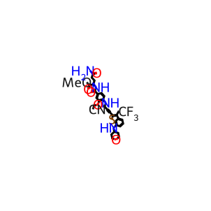 COC(=O)C(CCC(N)=O)NC(=O)c1ccc(NCC#Cc2sc3c(NC4CCOCC4)cccc3c2CC(F)(F)F)c(OCC#N)c1